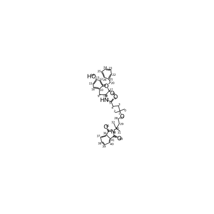 CC(C)(CCC(=O)N[C@@H](Cc1ccc(O)cc1)C(=O)OCc1ccccc1)OCCC(C)(C)N1C(=O)c2ccccc2C1=O